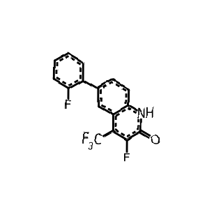 O=c1[nH]c2ccc(-c3ccccc3F)cc2c(C(F)(F)F)c1F